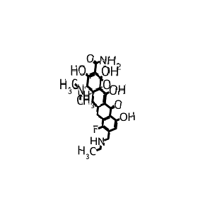 CCNCc1cc(O)c2c(c1F)CC1C[C@H]3[C@H](N(C)C)C(O)=C(C(N)=O)C4(O)O[C@]34C(O)=C1C2=O